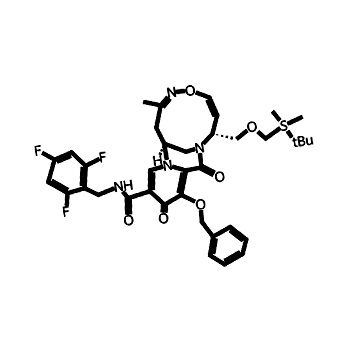 C/C1=N/O/C=C\[C@H](COCS(C)(C)C(C)(C)C)N2C[C@H](C1)n1cc(C(=O)NCc3c(F)cc(F)cc3F)c(=O)c(OCc3ccccc3)c1C2=O